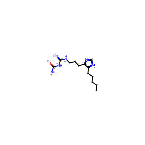 CCCCCc1[nH]cnc1CCCNC(=N)NC(N)=O